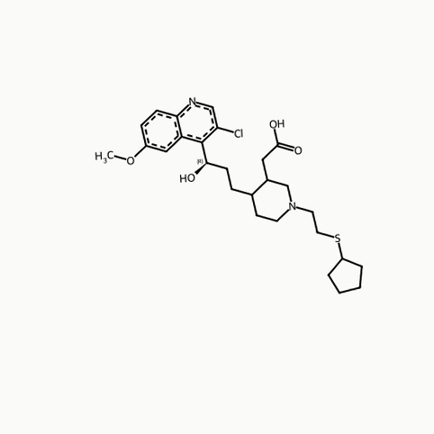 COc1ccc2ncc(Cl)c([C@H](O)CCC3CCN(CCSC4CCCC4)CC3CC(=O)O)c2c1